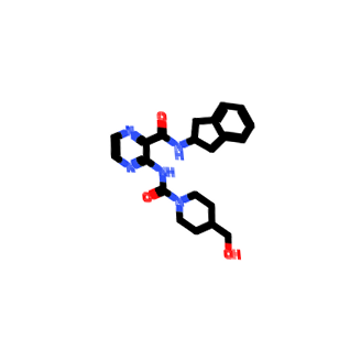 O=C(NC1Cc2ccccc2C1)c1nccnc1NC(=O)N1CCC(CO)CC1